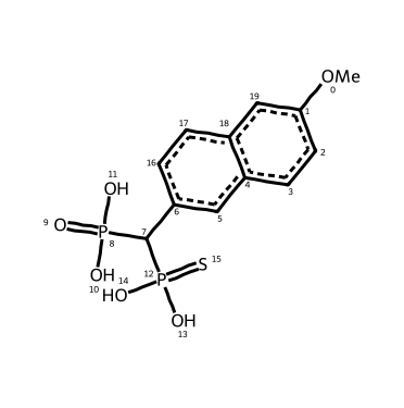 COc1ccc2cc(C(P(=O)(O)O)P(O)(O)=S)ccc2c1